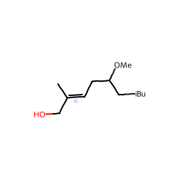 CCC(C)CC(C/C=C(\C)CO)OC